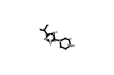 CC(C)c1noc(N2CCNCC2)n1